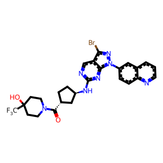 O=C([C@@H]1CC[C@@H](Nc2ncc3c(Br)nn(-c4ccc5ncccc5c4)c3n2)C1)N1CCC(O)(C(F)(F)F)CC1